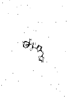 O=C(N[C@H]1CN2CCC1CC2)c1ccc(Sc2nnco2)s1